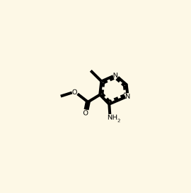 COC(=O)c1c(C)ncnc1N